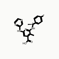 Cc1c(C(=O)O)cc(Nc2cnccn2)nc1N[C@@H](C)c1ccc(F)cc1